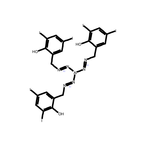 Oc1c(I)cc(I)cc1C/N=[N]/[Al](/[N]=N/Cc1cc(I)cc(I)c1O)/[N]=N/Cc1cc(I)cc(I)c1O